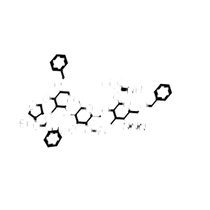 CC[C@]12CO[C@@H](OC3C(C)[C@H](O[C@@H]4C(OC)C(OC(C)C)[C@H](COC5C(C)[C@@H](N=[N+]=[N-])C(COCc6ccccc6)O[C@@H]5OC(=N)C(Cl)(Cl)Cl)O[C@@H]4C)OC[C@H]3OCc3ccccc3)C1O[C@H](c1ccccc1)O2